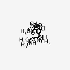 CN[C@H](C)COCc1nc(C)[nH]c1-c1cc(Cl)c([N+](=O)[O-])c(C(C(=O)OC)C(=O)OC)c1